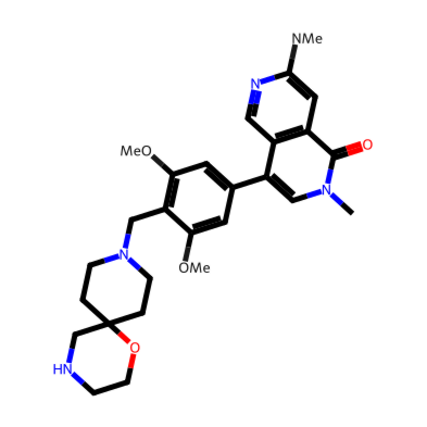 CNc1cc2c(=O)n(C)cc(-c3cc(OC)c(CN4CCC5(CC4)CNCCO5)c(OC)c3)c2cn1